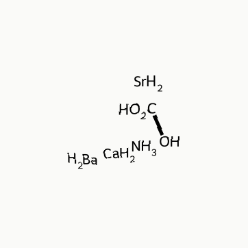 N.O=C(O)O.[BaH2].[CaH2].[SrH2]